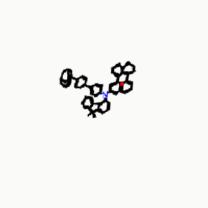 CC1(C)c2ccccc2-c2c(N(c3ccc(-c4ccc(C56CC7CC(CC(C7)C5)C6)cc4)cc3)c3cccc(-c4cccc5cccc(-c6ccccc6)c45)c3)cccc21